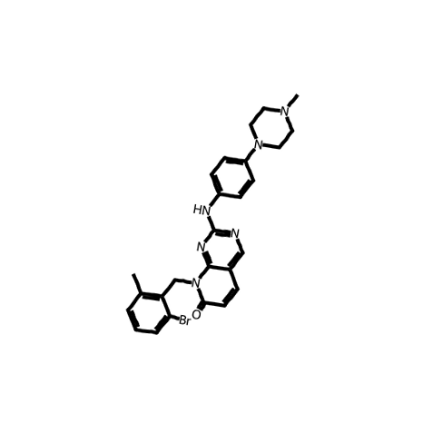 Cc1cccc(Br)c1Cn1c(=O)ccc2cnc(Nc3ccc(N4CCN(C)CC4)cc3)nc21